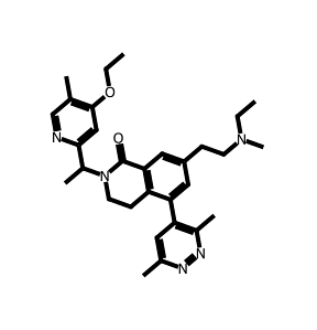 CCOc1cc(C(C)N2CCc3c(cc(CCN(C)CC)cc3-c3cc(C)nnc3C)C2=O)ncc1C